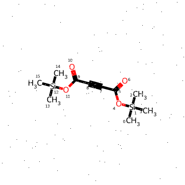 C[Si](C)(C)OC(=O)C#CC(=O)O[Si](C)(C)C